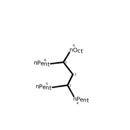 CCCCCCCCC([CH]C(CCCCC)CCCCC)CCCCC